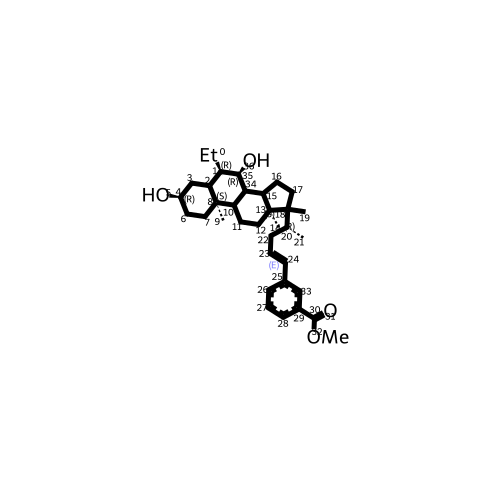 CC[C@@H]1C2C[C@H](O)CC[C@]2(C)C2CC[C@@]3(C)C(CCC3(C)[C@H](C)C/C=C/c3cccc(C(=O)OC)c3)C2[C@@H]1O